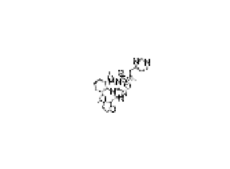 COc1cccc(OC)c1-n1c(NS(=O)(=O)[C@@H](C)Cc2ccncn2)nnc1-c1ccco1